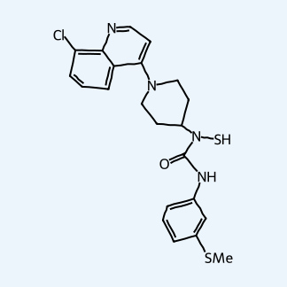 CSc1cccc(NC(=O)N(S)C2CCN(c3ccnc4c(Cl)cccc34)CC2)c1